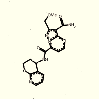 COCc1nn2c(C(=O)NC3CCOc4ncccc43)ccnc2c1C(N)=O